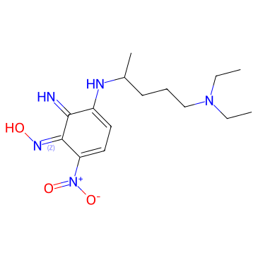 CCN(CC)CCCC(C)NC1=CC=C([N+](=O)[O-])/C(=N/O)C1=N